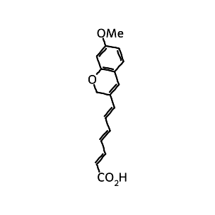 COc1ccc2c(c1)OCC(C=CC=CC=CC(=O)O)=C2